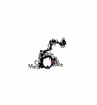 COc1cc2cc(c1Cl)N(C)C(=O)C[C@H](OC(=O)[C@H](C)N(C)C(=O)CCSSC(C)(C)CC(=O)N/N=C(/C)c1cnc(OCCCC(=O)ON3C(=O)CCC3=O)cn1)[C@@H](C)[C@@H](O)[C@H](C)[C@@H]1C[C@@](O)(NC(=O)O1)[C@H](OC)/C=C/C=C(\C)C2